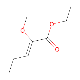 CCC=C(OC)C(=O)OCC